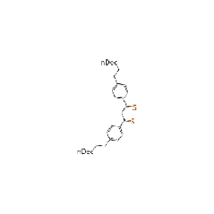 CCCCCCCCCCCCc1ccc(C(=S)CC(=S)c2ccc(CCCCCCCCCCCC)cc2)cc1